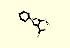 COc1nn(-c2ccccc2)cc1C(=O)Cl